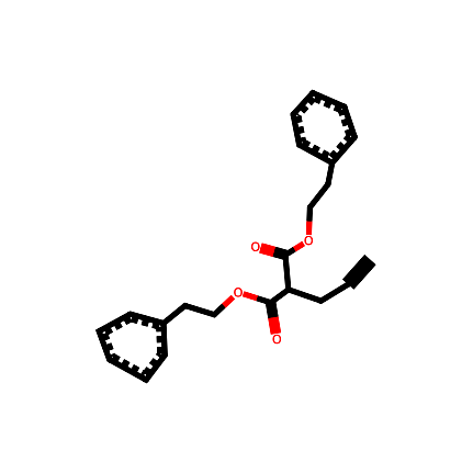 C#CCC(C(=O)OCCc1ccccc1)C(=O)OCCc1ccccc1